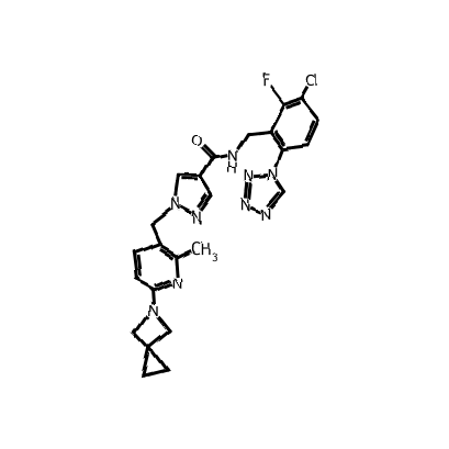 Cc1nc(N2CC3(CC3)C2)ccc1Cn1cc(C(=O)NCc2c(-n3cnnn3)ccc(Cl)c2F)cn1